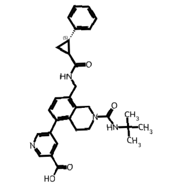 CC(C)(C)NC(=O)N1CCc2c(-c3cncc(C(=O)O)c3)ccc(CNC(=O)C3C[C@@H]3c3ccccc3)c2C1